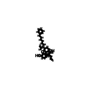 C=CCN1CC[C@]23c4c5ccc(O)c4OC2C(N(CCCCCCc2ccccc2)C(C)C)CC[C@@]3(O)[C@H]1C5